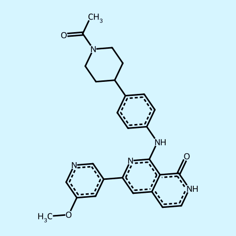 COc1cncc(-c2cc3cc[nH]c(=O)c3c(Nc3ccc(C4CCN(C(C)=O)CC4)cc3)n2)c1